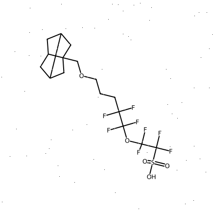 O=S(=O)(O)C(F)(F)C(F)(F)OC(F)(F)C(F)(F)CCCOCC12CC3CC1CC3C2